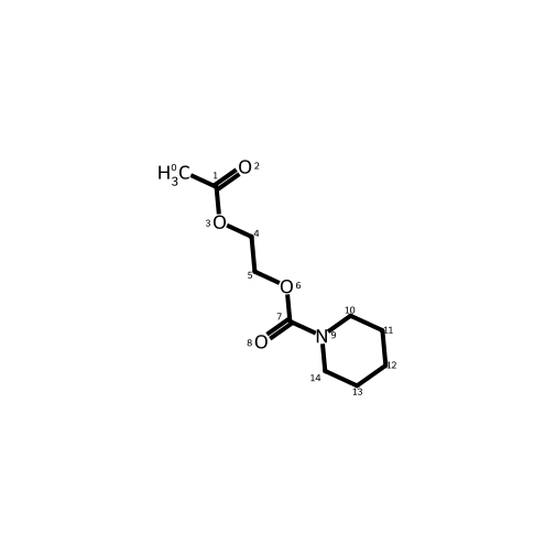 CC(=O)OCCOC(=O)N1CCCCC1